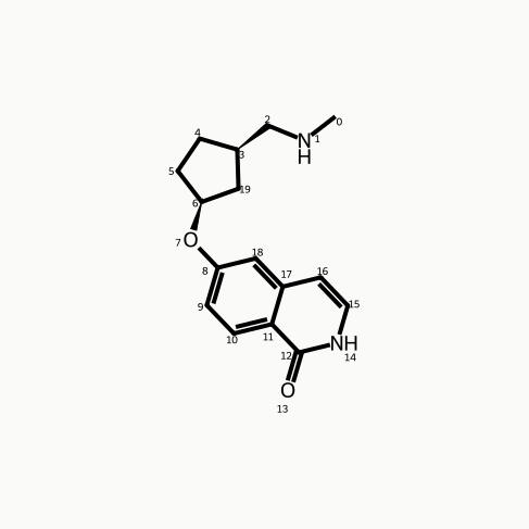 CNC[C@@H]1CC[C@H](Oc2ccc3c(=O)[nH]ccc3c2)C1